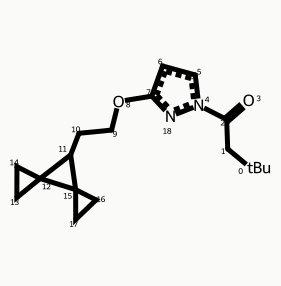 CC(C)(C)CC(=O)n1ccc(OCCC2C3(CC3)C23CC3)n1